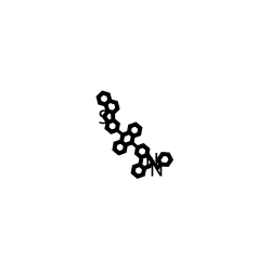 c1ccc2c(c1)ccc1c3cc(-c4c5ccccc5c(-c5ccc6c(c5)c5ccccc5c5nc7ccccc7n65)c5ccccc45)ccc3sc21